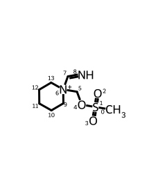 CS(=O)(=O)OC[N+]1(C=N)CCCCC1